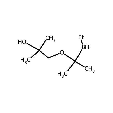 CCBC(C)(C)OCC(C)(C)O